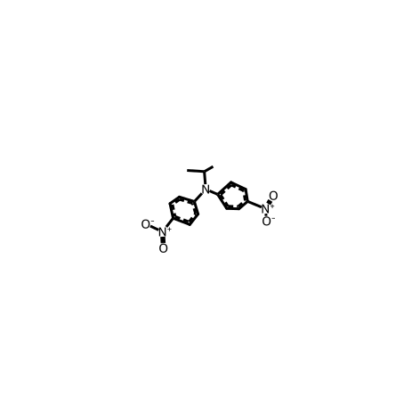 CC(C)N(c1ccc([N+](=O)[O-])cc1)c1ccc([N+](=O)[O-])cc1